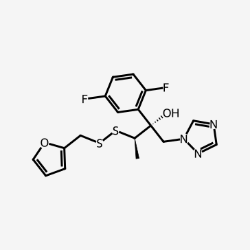 C[C@@H](SSCc1ccco1)[C@](O)(Cn1cncn1)c1cc(F)ccc1F